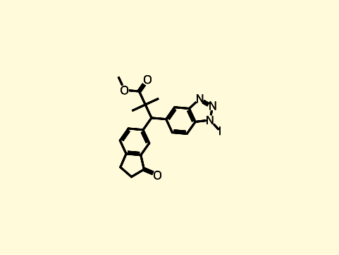 COC(=O)C(C)(C)C(c1ccc2c(c1)C(=O)CC2)c1ccc2c(c1)nnn2I